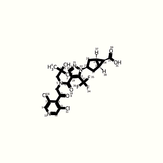 CC(C)(C)CN(CC(=O)c1c(Cl)cncc1Cl)C(=O)c1cnn([C@H]2C[C@@H]3[C@H](C2)[C@@H]3C(=O)O)c1C(F)(F)F